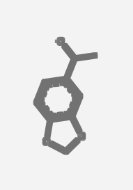 CC([O])c1ccc2c(c1)OCO2